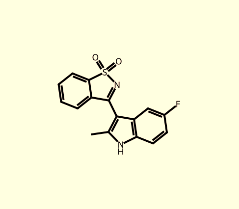 Cc1[nH]c2ccc(F)cc2c1C1=NS(=O)(=O)c2ccccc21